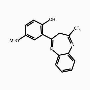 COc1ccc(O)c(C2=Nc3ccccc3N=C(C(F)(F)F)C2)c1